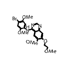 COCCOc1cc2ncnc(Nc3cc(OC)c(Br)cc3OC)c2cc1OC